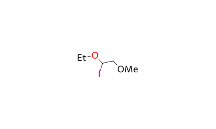 CCOC(I)COC